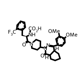 COc1ccc(C2=NN(C3CCN(C(=O)[C@@H](Cc4ccccc4C(F)(F)F)NC(=O)O)CC3)C(=O)[C@@H]3CCCC[C@H]23)cc1OC